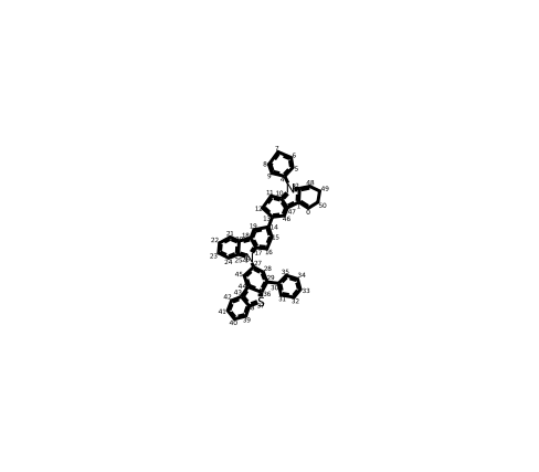 C1=c2c(n(-c3ccccc3)c3ccc(-c4ccc5c(c4)c4ccccc4n5-c4cc(-c5ccccc5)c5sc6ccccc6c5c4)cc23)=CCC1